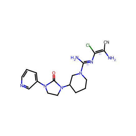 N#C/C(N)=C(Cl)/N=C(\N)N1CCCC(N2CCN(c3cccnc3)C2=O)C1